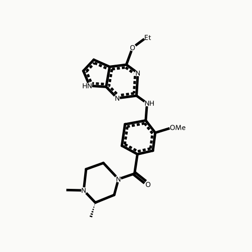 CCOc1nc(Nc2ccc(C(=O)N3CCN(C)[C@@H](C)C3)cc2OC)nc2[nH]ccc12